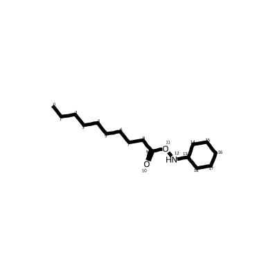 CCCCCCCCCC(=O)ONC1CCCCC1